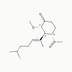 CO[C@@H]1C(=O)CC[C@H](C(C)=O)[C@H]1/C(C)=C/CCC(C)C